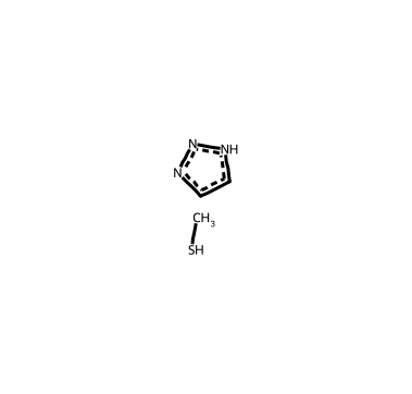 CS.c1c[nH]nn1